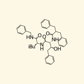 CCC(C)[C@H](NC(=O)[C@H](NC(=O)C(Cc1ccccc1)Cc1ccccc1)[C@@H](O)Cc1ccccc1)C(=O)NCc1ccccc1